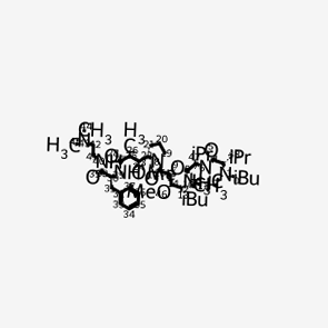 CCC(C)N(C)[C@H](C(=O)N[C@H](C(=O)N(C)[C@@H]([C@@H](C)CC)[C@@H](CC(=O)N1CCC[C@H]1[C@H](OC)[C@@H](C)C(=O)N[C@@H](Cc1ccccc1)C(=O)NCCN(C)C)OC)C(C)C)C(C)C